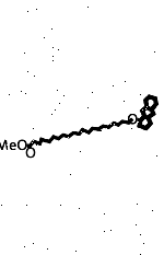 COC(=O)CCCCCCCCCCCCCCCCCCCCOc1cccc2cc3ccccc3cc12